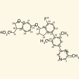 Cc1cncc(-c2cc(C)c(-c3ccc(F)c4c3CC[C@H]4Oc3ccc4c(c3)OCC4CC(=O)O)c(C)c2)n1